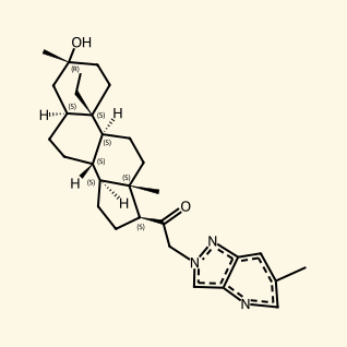 CC[C@]12CC[C@@](C)(O)C[C@@H]1CC[C@H]1[C@@H]3CC[C@H](C(=O)Cn4cc5ncc(C)cc5n4)[C@@]3(C)CC[C@@H]12